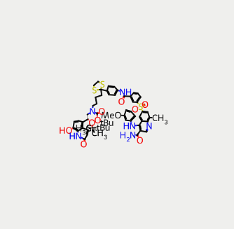 COc1cccc(Nc2c(C(N)=O)cnc3c(C)cc(S(=O)(=O)c4cccc(C(=O)Nc5ccc(C6(CCCCN(C[C@H](O[Si](C)(C)C(C)(C)C)c7ccc(O)c8[nH]c(=O)ccc78)C(=O)OC(C)(C)C)SCCS6)cc5)c4)cc23)c1